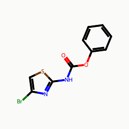 O=C(Nc1nc(Br)cs1)Oc1ccccc1